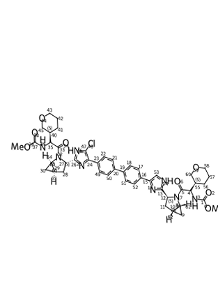 COC(=O)NC(C(=O)N1[C@@H]2C[C@@H]2C[C@H]1c1nc(-c2ccc(-c3ccc(-c4nc([C@@H]5C[C@H]6C[C@H]6N5C(=O)C(NC(=O)OC)[C@@H]5CCCOC5)[nH]c4Cl)cc3)cc2)c[nH]1)[C@@H]1CCCOC1